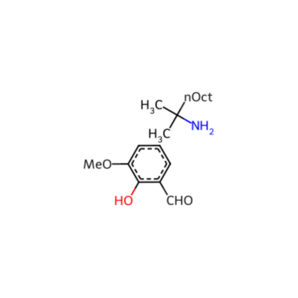 CCCCCCCCC(C)(C)N.COc1cccc(C=O)c1O